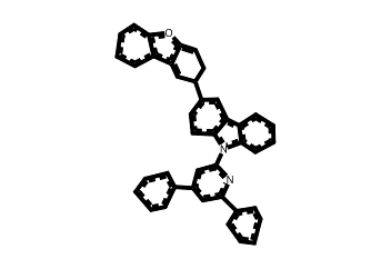 C1=c2oc3ccccc3c2=CC(c2ccc3c(c2)c2ccccc2n3-c2cc(-c3ccccc3)cc(-c3ccccc3)n2)C1